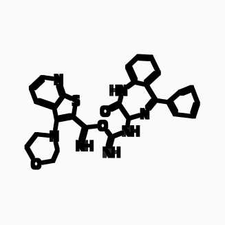 N=C(NC1N=C(c2ccccc2)c2ccccc2NC1=O)OC(=N)c1sc2ncccc2c1N1CCOCC1